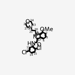 COc1cccc2c(C(=O)Nc3cc(Cl)ccc3Cl)nn(CCN3CCOCC3)c12